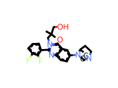 CC(C)(CO)Cn1c(-c2cccc(F)c2F)nc2ccc(N3CCN4CCC3CC4)cc2c1=O